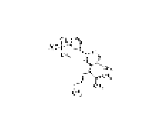 C=C(C)N(CCCC)c1nc(-c2cccc(C(C)(C)C)c2)ccc1C